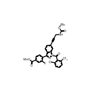 COC(=O)c1ccc(-c2nn(C(=O)c3c(Cl)cccc3C(F)(F)F)c3cc(C#CCNC(=O)OC(C)(C)C)ccc23)c(F)c1